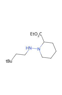 CCOC(=O)C1CCCCN1NCCC(C)(C)C